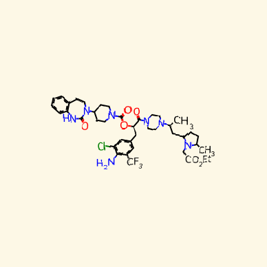 CCOC(=O)CN1C(C)CCC1C[C@H](C)N1CCN(C(=O)[C@@H](Cc2cc(Cl)c(N)c(C(F)(F)F)c2)OC(=O)N2CCC(N3CCc4ccccc4NC3=O)CC2)CC1